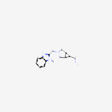 Cn1c(CN2CC3C(CN)C3C2)nc2ccccc21